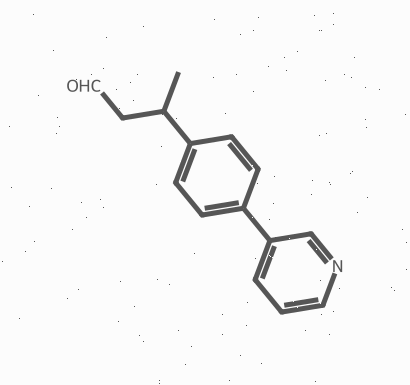 CC(CC=O)c1ccc(-c2cccnc2)cc1